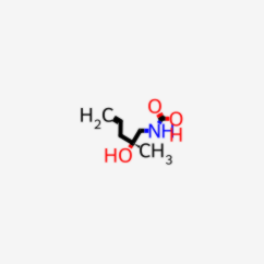 C=CC[C@](C)(O)CNC(=O)O